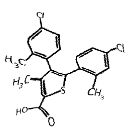 Cc1cc(Cl)ccc1-c1sc(C(=O)O)c(C)c1-c1ccc(Cl)cc1C